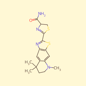 CN1CCC(C)(C)c2cc3nc(C4=NC(C(N)=O)CS4)sc3cc21